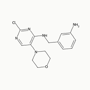 Nc1cccc(CNc2nc(Cl)ncc2N2CCOCC2)c1